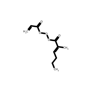 C=CC(=O)OOOC(=O)C(C)=CCCC